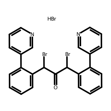 Br.O=C(C(Br)c1ccccc1-c1cccnc1)C(Br)c1ccccc1-c1cccnc1